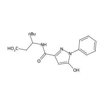 CCCCC(CC(=O)O)NC(=O)c1cc(O)n(-c2ccccc2)n1